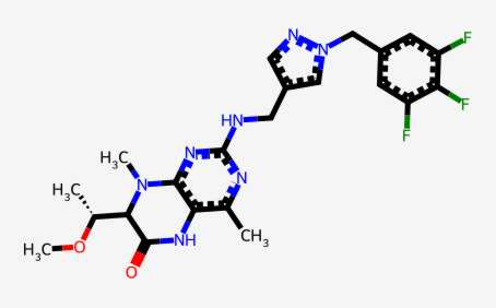 CO[C@H](C)C1C(=O)Nc2c(C)nc(NCc3cnn(Cc4cc(F)c(F)c(F)c4)c3)nc2N1C